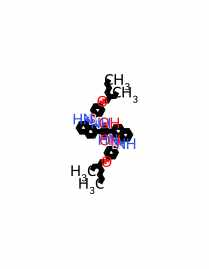 CCCCC(CC)COc1ccc(B2Nc3cccc4ccc(C5C(O)C(c6ccc7cccc8c7c6NB(c6ccc(OCC(CC)CCCC)cc6)N8)C5O)c(c34)N2)cc1